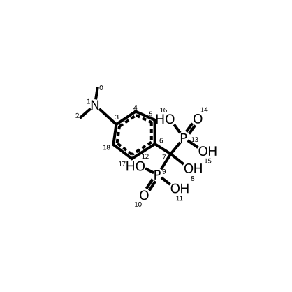 CN(C)c1ccc(C(O)(P(=O)(O)O)P(=O)(O)O)cc1